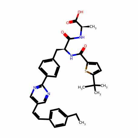 CCc1ccc(/C=C\c2cnc(-c3ccc(C[C@H](NC(=O)c4ccc(C(C)(C)C)s4)C(=O)N[C@H](C)C(=O)O)cc3)nc2)cc1